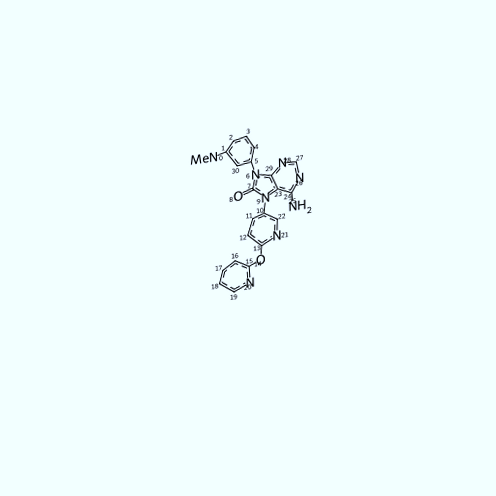 CNc1cccc(-n2c(=O)n(-c3ccc(Oc4ccccn4)nc3)c3c(N)ncnc32)c1